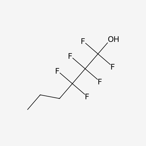 CCCC(F)(F)C(F)(F)C(O)(F)F